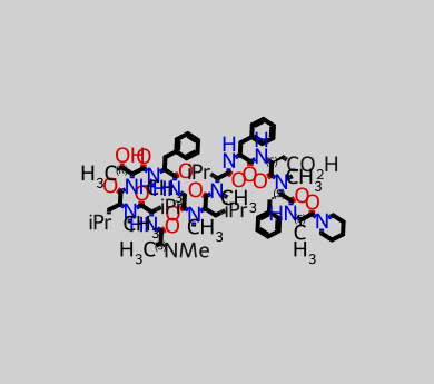 CN[C@@H](C)C(=O)NC(C(=O)N(C)C(CC(C)C)C(=O)NC(C(=O)N(C)C(Cc1ccccc1)C(=O)NCC(=O)N(C)C(CC(C)C)C(=O)N(C)C(C(=O)NC(Cc1ccccc1)C(=O)N[C@@H](CC(=O)O)C(=O)N(C)[C@@H](Cc1ccccc1)C(=O)N[C@@H](C)C(=O)N1CCCCC1)C(C)C)[C@@H](C)O)C(C)C